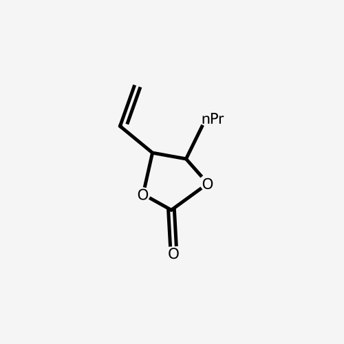 C=CC1OC(=O)OC1CCC